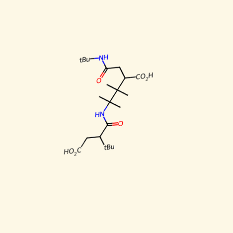 CC(C)(C)NC(=O)CC(C(=O)O)C(C)(C)C(C)(C)NC(=O)C(CC(=O)O)C(C)(C)C